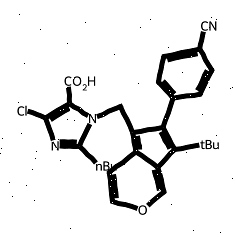 CCCCc1nc(Cl)c(C(=O)O)n1Cc1c2ccocc-2c(C(C)(C)C)c1-c1ccc(C#N)cc1